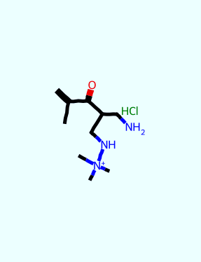 C=C(C)C(=O)C(CN)CN[N+](C)(C)C.Cl